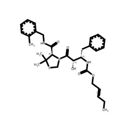 CC/C=C/COC(=O)N[C@@H](Cc1ccccc1)[C@H](O)C(=O)N1CSC(C)(C)[C@H]1C(=O)NCc1ccccc1C